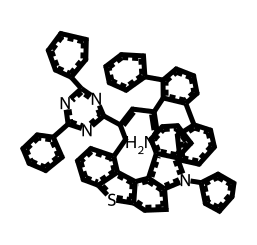 N/C=C(\C=C(/Cc1cccc2sc3ccc4c(c5ccccc5n4-c4ccccc4)c3c12)c1nc(-c2ccccc2)nc(-c2ccccc2)n1)c1c(-c2ccccc2)cccc1-c1ccccc1